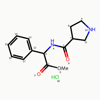 COC(=O)C(NC(=O)C1CCNC1)c1ccccc1.Cl